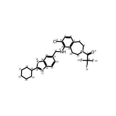 O=C(N1CCc2ccc(Cl)c(NCc3ccc4nc(C5CCCCC5)sc4c3)c2CC1)C(F)(F)F